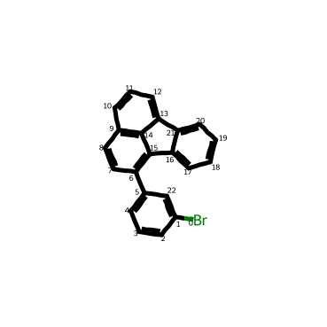 Brc1cccc(-c2ccc3cccc4c3c2-c2ccccc2-4)c1